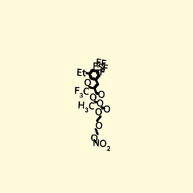 CCc1cc(S(F)(F)(F)(F)F)cc2c1OC(C(F)(F)F)C(C(=O)OC(C)OC(=O)OCCOCCO[N+](=O)[O-])=C2